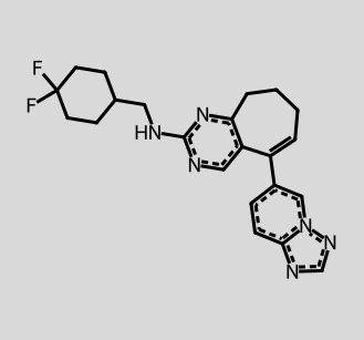 FC1(F)CCC(CNc2ncc3c(n2)CCCC=C3c2ccc3ncnn3c2)CC1